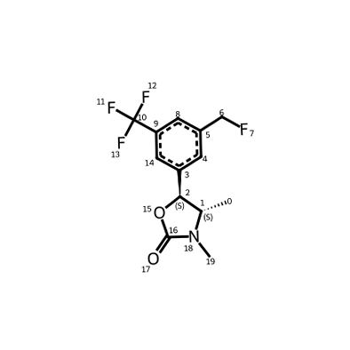 C[C@H]1[C@H](c2cc(CF)cc(C(F)(F)F)c2)OC(=O)N1C